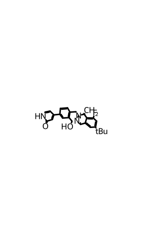 C=C1c2c(F)cc(C(C)(C)C)cc2C=NN1Cc1ccc(-c2cc[nH]c(=O)c2)cc1CO